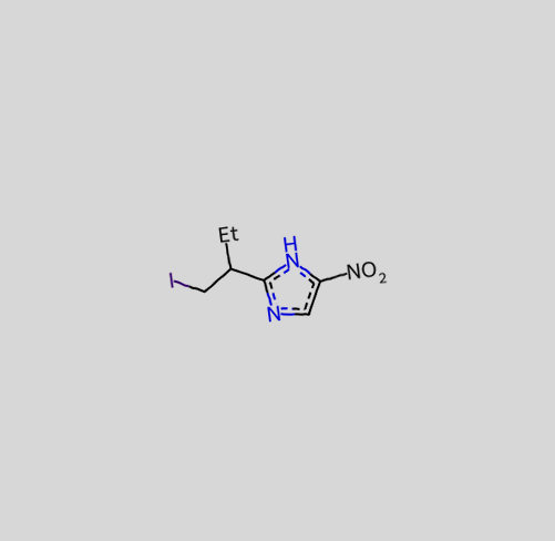 CCC(CI)c1ncc([N+](=O)[O-])[nH]1